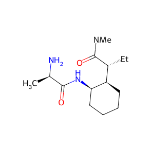 CC[C@@H](C(=O)NC)[C@H]1CCCC[C@H]1NC(=O)[C@@H](C)N